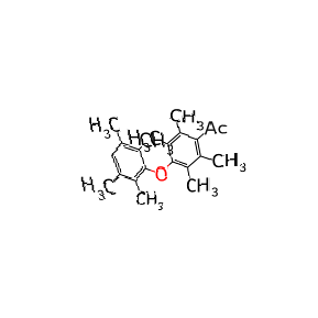 CC(=O)c1c(C)c(C)c(Oc2c(C)c(C)cc(C)c2C)c(C)c1C